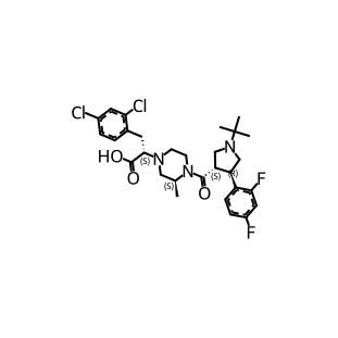 C[C@H]1CN([C@@H](Cc2ccc(Cl)cc2Cl)C(=O)O)CCN1C(=O)[C@@H]1CN(C(C)(C)C)C[C@H]1c1ccc(F)cc1F